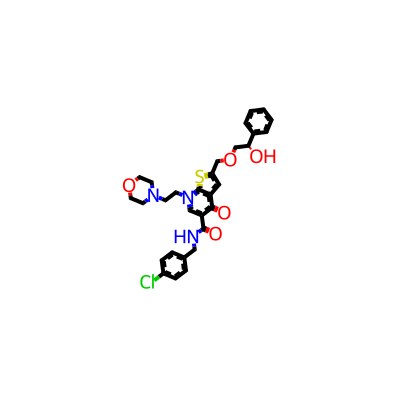 O=C(NCc1ccc(Cl)cc1)c1cn(CCN2CCOCC2)c2sc(COC[C@@H](O)c3ccccc3)cc2c1=O